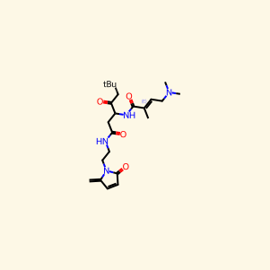 C=C1C=CC(=O)N1CCNC(=O)CC(NC(=O)/C(C)=C/CN(C)C)C(=O)CC(C)(C)C